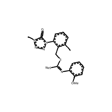 COc1ccccc1N=C(SC)SCc1c(C)cccc1-n1nnn(C)c1=O